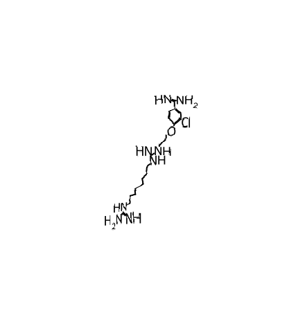 N=C(N)NCCCCCCCCNC(=N)NCCCOc1ccc(C(=N)N)cc1Cl